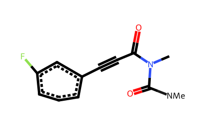 CNC(=O)N(C)C(=O)C#Cc1cccc(F)c1